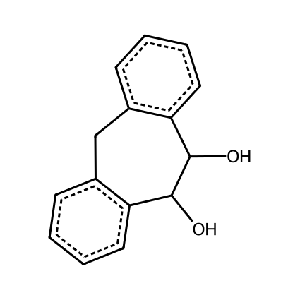 OC1c2ccccc2Cc2ccccc2C1O